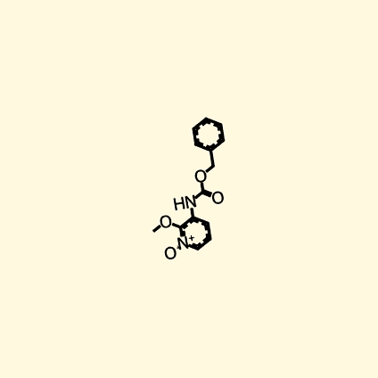 COc1c(NC(=O)OCc2ccccc2)ccc[n+]1[O-]